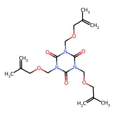 C=C(C)COCn1c(=O)n(COCC(=C)C)c(=O)n(COCC(=C)C)c1=O